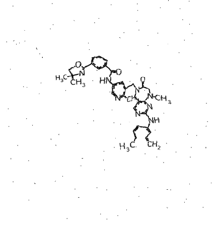 C=C/C=C(\C=C/CC)Nc1ncc2c(n1)N(C)CC(=O)N(Cc1cc(NC(=O)c3cccc(C4=NC(C)(C)CO4)c3)cnc1C)C2